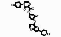 O=C(Nc1ccc(Oc2ccnc3cc(C4CCNCC4)sc23)c(F)c1)c1nccn(-c2ccc(F)cc2)c1=O